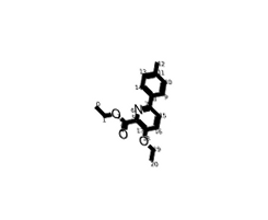 CCOC(=O)c1nc(-c2ccc(C)cc2)ccc1OCC